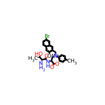 COc1cc2ccc(Br)cc2cc1CN1CC(NC(=O)[C@@H](N)[C@@H](C)O)C(=O)Oc2cc(C)ccc21